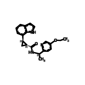 C[C@@H](NC(=O)[C@@H]1C[C@H]1c1cccc2cc[nH]c12)c1ccc(OCC(F)(F)F)cn1